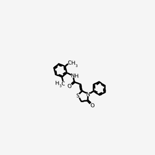 Cc1cccc(C)c1NC(=O)/C=C1\SCC(=O)N1c1ccccc1